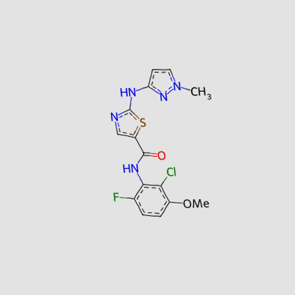 COc1ccc(F)c(NC(=O)c2cnc(Nc3ccn(C)n3)s2)c1Cl